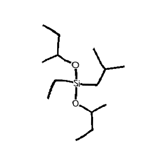 CCC(C)O[Si](CC)(CC(C)C)OC(C)CC